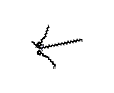 CCCCCC#CC(=N\c1ccccc1CCC#CCCCCCCCC)/C(CCCCCCCCCCCCCCCCCCCCCCCCC)=N\c1ccccc1CCC#CCCCCCCCC.[Ni]